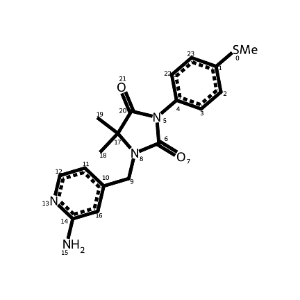 CSc1ccc(N2C(=O)N(Cc3ccnc(N)c3)C(C)(C)C2=O)cc1